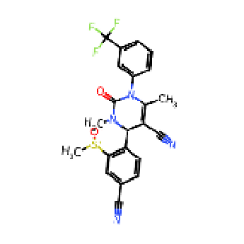 CC1=C(C#N)[C@@H](c2ccc(C#N)cc2[S+](C)[O-])N(C)C(=O)N1c1cccc(C(F)(F)F)c1